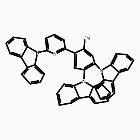 N#Cc1cc(-n2c3ccccc3c3ccccc32)c(-n2c3ccccc3c3ccccc32)cc1-c1cccc(-n2c3ccccc3c3ccccc32)n1